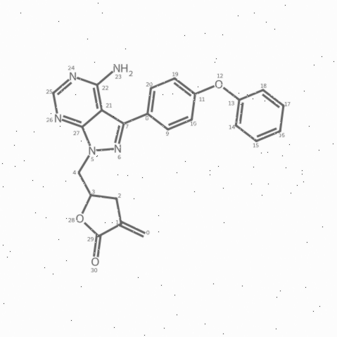 C=C1CC(Cn2nc(-c3ccc(Oc4ccccc4)cc3)c3c(N)ncnc32)OC1=O